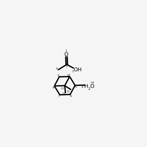 CC(=O)O.CC1CCC2CC1C2(C)C.O